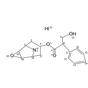 CN1C2CC(OC(=O)C(CO)c3ccccc3)CC1C1OC12.I